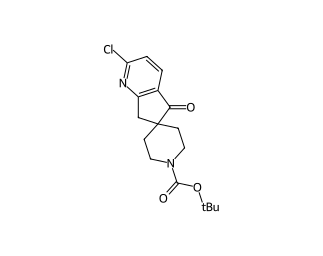 CC(C)(C)OC(=O)N1CCC2(CC1)Cc1nc(Cl)ccc1C2=O